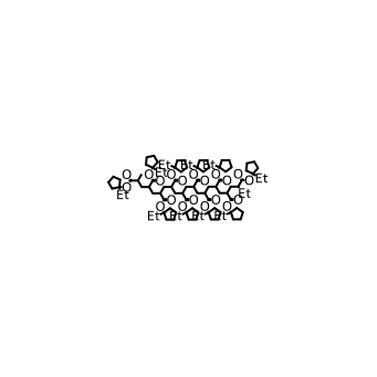 CCC(CC(CC(CC(CC(CC(CC(CC(CC(CC(C)C(=O)OC1(CC)CCCC1)C(=O)OC1(CC)CCCC1)C(=O)OC1(CC)CCCC1)C(=O)OC1(CC)CCCC1)C(=O)OC1(CC)CCCC1)C(=O)OC1(CC)CCCC1)C(=O)OC1(CC)CCCC1)C(=O)OC1(CC)CCCC1)C(=O)OC1(CC)CCCC1)C(=O)OC1(CC)CCCC1